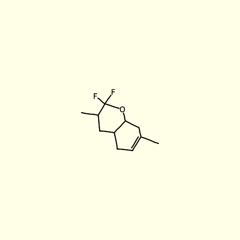 CC1=CCC2CC(C)C(F)(F)OC2C1